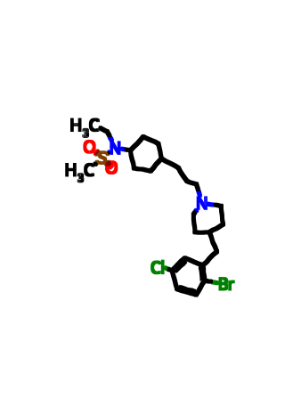 CCN(C1CCC(CCCN2CCC(Cc3cc(Cl)ccc3Br)CC2)CC1)S(C)(=O)=O